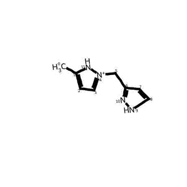 Cc1cc[n+](Cc2cc[nH]n2)[nH]1